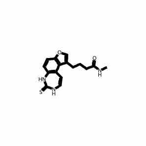 CNC(=O)CCCc1coc2ccc3c(c12)C=CNC(=S)N3